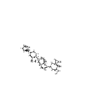 Oc1cc(-n2ccnn2)ccc1-c1cc2ccn(C3CC4(CC4)NC4(CC4)C3)c2nn1